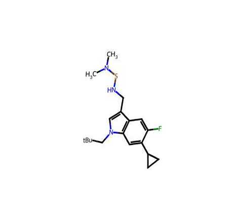 CN(C)SNCc1cn(CC(C)(C)C)c2cc(C3CC3)c(F)cc12